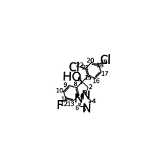 OC(Cn1cncn1)(c1ccc(F)cc1)c1ccc(Cl)cc1Cl